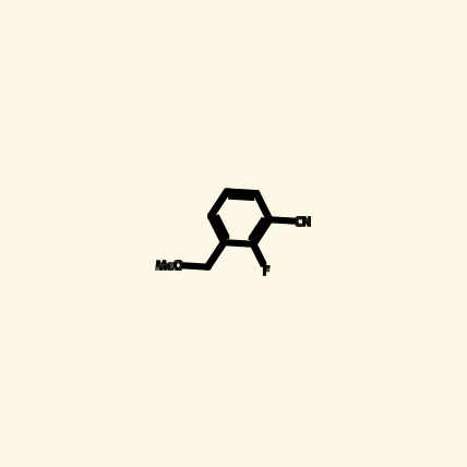 COCc1cccc(C#N)c1F